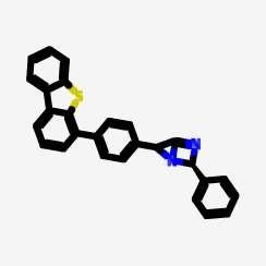 c1ccc([C@@H]2N=C3C(c4ccc(-c5cccc6c5sc5ccccc56)cc4)N32)cc1